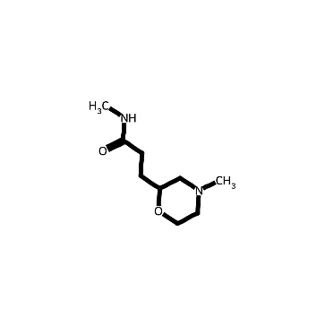 CNC(=O)CCC1CN(C)CCO1